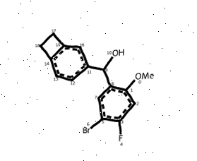 COc1cc(F)c(Br)cc1C(O)c1ccc2c(c1)CC2